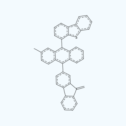 C=C1c2ccccc2-c2ccc(-c3c4ccccc4c(-c4cccc5c4sc4ccccc45)c4cc(C)ccc34)cc21